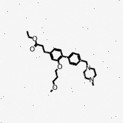 CCOC(=O)CCc1ccc(-c2ccc(CN3CCN(C)CC3)cc2)c(OCCCOC)c1